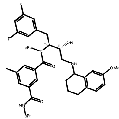 CCCNC(=O)c1cc(C)cc(C(=O)N(CCC)[C@@H](Cc2cc(F)cc(F)c2)[C@H](O)CNC2CCCc3ccc(OC)cc32)c1